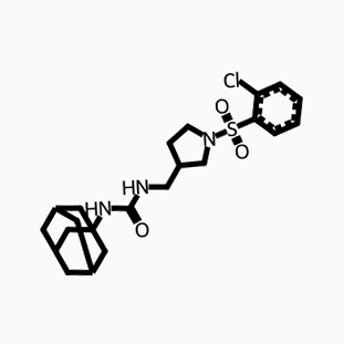 O=C(NCC1CCN(S(=O)(=O)c2ccccc2Cl)C1)NC12CC3CC(CC(C3)C1)C2